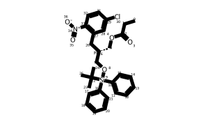 CCC(=O)OC[C@H](CO[Si](c1ccccc1)(c1ccccc1)C(C)(C)C)Cc1cc(Cl)ccc1[N+](=O)[O-]